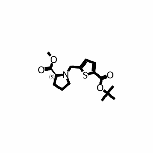 COC(=O)[C@@H]1CCCN1Cc1ccc(C(=O)OC(C)(C)C)s1